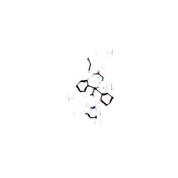 Cc1cc(C)nc(OC(C(=O)O)C2(c3ccccc3)NCC(=O)N(CCCC(=O)O)c3ccccc32)n1